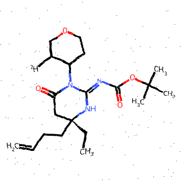 [2H]C1COCCC1N1C(=O)C[C@@](CC)(CCC=C)N/C1=N\C(=O)OC(C)(C)C